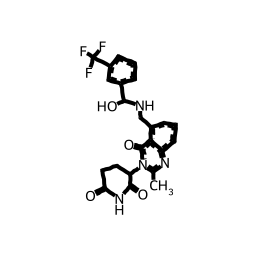 Cc1nc2cccc(CNC(O)c3cccc(C(F)(F)F)c3)c2c(=O)n1C1CCC(=O)NC1=O